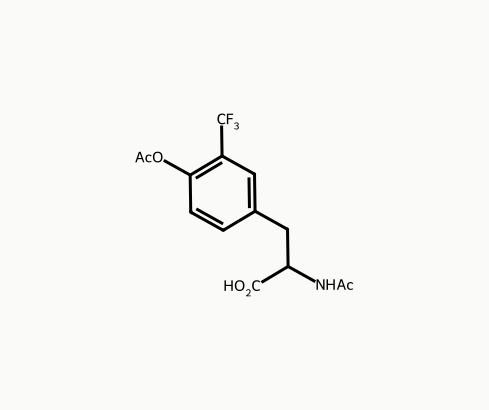 CC(=O)NC(Cc1ccc(OC(C)=O)c(C(F)(F)F)c1)C(=O)O